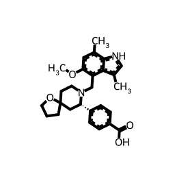 COc1cc(C)c2[nH]cc(C)c2c1CN1CCC2(CCCO2)C[C@H]1c1ccc(C(=O)O)cc1